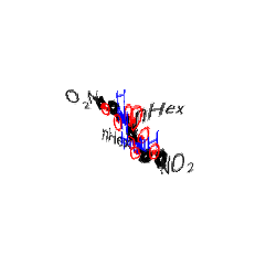 CCCCCCOc1cc(C(=O)NNC(=O)c2cccc(Oc3ccc([N+](=O)[O-])cc3)c2)c(OCCCCCC)cc1C(=O)NNC(=O)c1cccc(Oc2ccc([N+](=O)[O-])cc2)c1